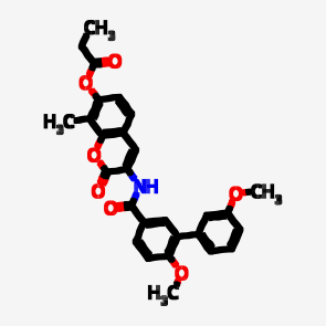 CCC(=O)Oc1ccc2cc(NC(=O)c3ccc(OC)c(-c4cccc(OC)c4)c3)c(=O)oc2c1C